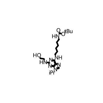 CC(C)n1cnc2c(NCCCCCCNC(=O)OC(C)(C)C)nc(NCCO)nc21